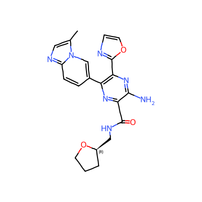 Cc1cnc2ccc(-c3nc(C(=O)NC[C@H]4CCCO4)c(N)nc3-c3ncco3)cn12